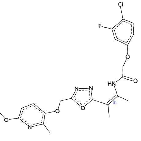 COc1ccc(OCc2nnc(/C(C)=C(/C)NC(=O)COc3ccc(Cl)c(F)c3)o2)c(C)n1